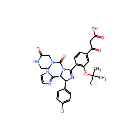 CC(C)(C)Oc1cc(C(=O)CC(=O)O)ccc1C1=N[C@@H](c2ccc(Cl)cc2)[C@@H](c2ncc[nH]2)N1C(=O)N1CCNC(=O)C1